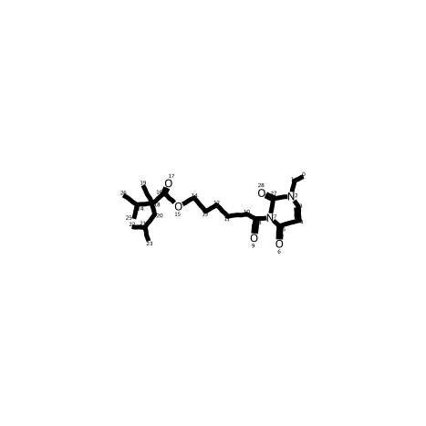 CCn1ccc(=O)n(C(=O)CCCCCOC(=O)C(C)(CC(C)C)C(C)C)c1=O